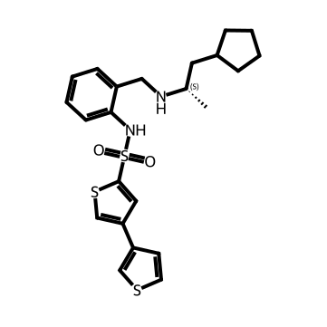 C[C@@H](CC1CCCC1)NCc1ccccc1NS(=O)(=O)c1cc(-c2ccsc2)cs1